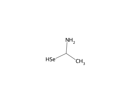 CC(N)[SeH]